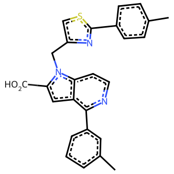 Cc1ccc(-c2nc(Cn3c(C(=O)O)cc4c(-c5cccc(C)c5)nccc43)cs2)cc1